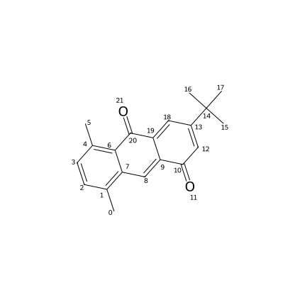 Cc1ccc(C)c2c1C=C1C(=O)C=C(C(C)(C)C)C=C1C2=O